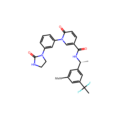 CNc1cc([C@@H](C)NC(=O)c2ccc(=O)n(-c3cccc(N4CCNC4=O)c3)c2)cc(C(C)(F)F)c1